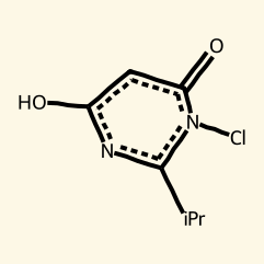 CC(C)c1nc(O)cc(=O)n1Cl